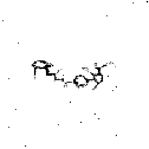 NC(=O)c1ccc(F)c(-c2ccc(NCC[C@H](F)Cc3ncccc3F)nn2)c1O